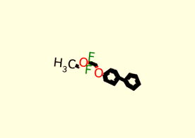 CCOC(F)(F)COc1ccc(-c2ccccc2)cc1